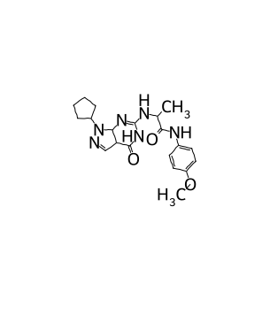 COc1ccc(NC(=O)C(C)NC2=NC3C(C=NN3C3CCCC3)C(=O)N2)cc1